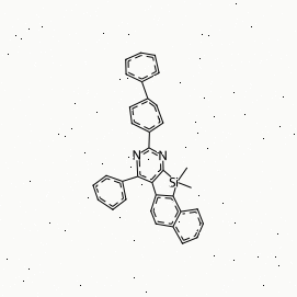 C[Si]1(C)c2nc(-c3ccc(-c4ccccc4)cc3)nc(-c3ccccc3)c2-c2ccc3ccccc3c21